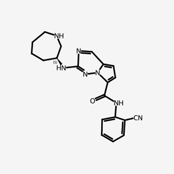 N#Cc1ccccc1NC(=O)c1ccc2cnc(N[C@H]3CCCCNC3)nn12